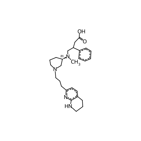 CN(CC(CC(=O)O)c1ccccc1)[C@@H]1CCCN(CCCc2ccc3c(n2)NCCC3)C1